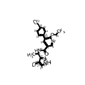 CC(NC(=O)c1cnc(OCC(F)(F)F)c(-c2ccc(Cl)cc2)c1)c1n[nH]cc1Cl